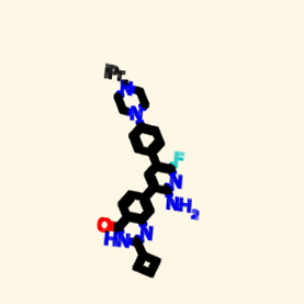 CC(C)N1CCN(c2ccc(-c3cc(-c4ccc5c(=O)[nH]c(C6CCC6)nc5c4)c(N)nc3F)cc2)CC1